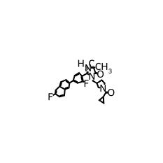 CC1(C)N=C(c2ccc(-c3ccc4cc(F)ccc4c3)cc2F)N(CC2CCN(C(=O)C3CC3)C2)C1=O